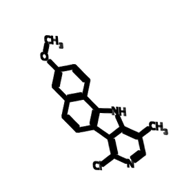 COc1ccc2c(ccc3c2[nH]c2c(C)cnc(Cl)c23)c1